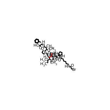 CC[C@H](C)[C@@H]([C@@H](CC(=O)N1CCC[C@H]1[C@H](OC)[C@@H](C)C(=O)N[C@@H](Cc1ccccc1)C(=O)O)OC)N(C)C(=O)[C@@H](NC(=O)[C@@H]1[C@H]2CC[C@@H]([C@H]2C)N1C(=O)CCCCCNC(=O)CBr)C(C)C